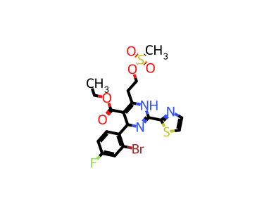 CCOC(=O)C1=C(CCOS(C)(=O)=O)NC(c2nccs2)=NC1c1ccc(F)cc1Br